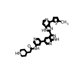 Cc1ccc(-c2nccc3[nH]c(-c4n[nH]c5ncc(-c6cncc(NC(=O)CC7CCNCC7)c6)cc45)nc23)s1